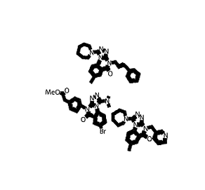 COC(=O)Cc1ccc(-n2c(=O)c3cc(Br)ccc3n3c(N(C)C)nnc23)cc1.Cc1ccc2c(c1)c(=O)n(CC=Cc1ccccc1)c1nnc(N3CCCCCC3)n21.Cc1ccc2c(c1)c(=O)n(Cc1cccnc1)c1nnc(N3CCCCCC3)n21